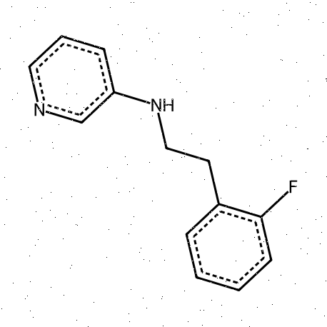 Fc1ccccc1CCNc1cccnc1